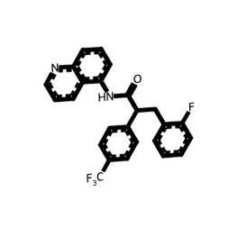 O=C(Nc1cccc2ncccc12)C(Cc1ccccc1F)c1ccc(C(F)(F)F)cc1